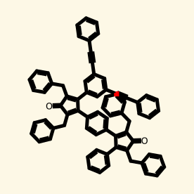 O=C1C(Cc2ccccc2)=C(c2ccccc2)C(c2ccc(C3=C(Cc4ccccc4)C(=O)C(Cc4ccccc4)=C3c3cc(C#Cc4ccccc4)cc(C#Cc4ccccc4)c3)cc2)=C1Cc1ccccc1